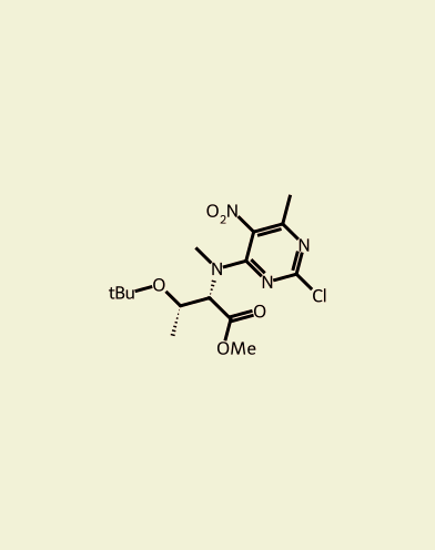 COC(=O)[C@H]([C@H](C)OC(C)(C)C)N(C)c1nc(Cl)nc(C)c1[N+](=O)[O-]